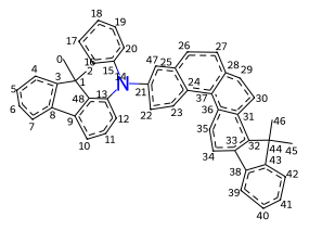 CC1(C)c2ccccc2-c2cccc(N(c3ccccc3)c3ccc4c(ccc5ccc6c7c(ccc6c54)-c4ccccc4C7(C)C)c3)c21